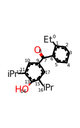 CCc1ccccc1C(=O)c1cc(C(C)C)c(O)c(C(C)C)c1